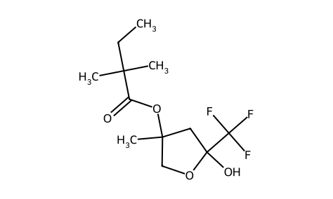 CCC(C)(C)C(=O)OC1(C)COC(O)(C(F)(F)F)C1